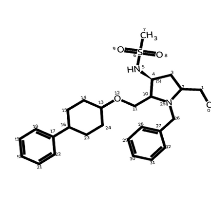 CCC1C[C@H](NS(C)(=O)=O)C(COC2CCC(c3ccccc3)CC2)N1Cc1ccccc1